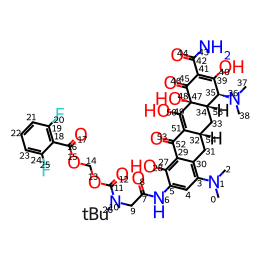 CN(C)c1cc(NC(=O)CN(C(=O)OCOC(=O)c2c(F)cccc2F)C(C)(C)C)c(O)c2c1C[C@H]1C[C@H]3[C@H](N(C)C)C(O)=C(C(N)=O)C(=O)[C@@]3(O)C(O)=C1C2=O